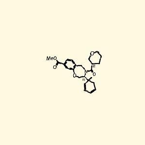 COC(=O)c1ccc2c(c1)OC[C@H](C1(C)C=CC=CC1)N(C(=O)[C@@H]1CCCOC1)C2